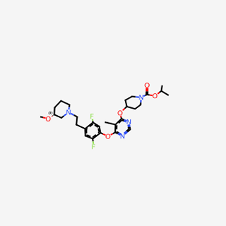 CO[C@@H]1CCCN(CCc2cc(F)c(Oc3ncnc(OC4CCN(C(=O)OC(C)C)CC4)c3C)cc2F)C1